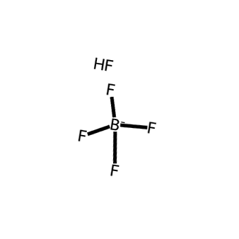 F.F[B-](F)(F)F